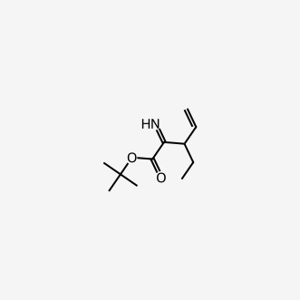 C=CC(CC)C(=N)C(=O)OC(C)(C)C